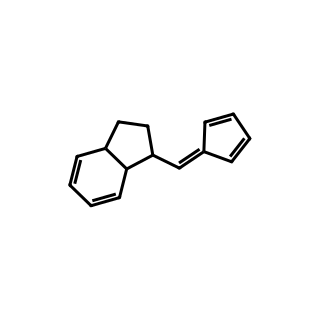 C1=CC(=CC2CCC3C=CC=CC32)C=C1